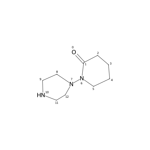 O=C1CCCCN1N1CCNCC1